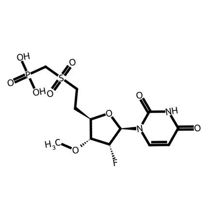 CO[C@H]1[C@@H](F)[C@H](n2ccc(=O)[nH]c2=O)O[C@@H]1CCS(=O)(=O)CP(=O)(O)O